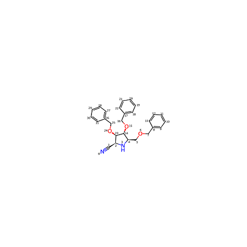 N#C[C@@H]1N[C@H](COCc2ccccc2)[C@H](OCc2ccccc2)[C@@H]1OCc1ccccc1